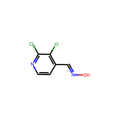 O/N=C/c1ccnc(Cl)c1Cl